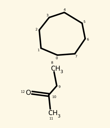 C1CCCCCCC1.CCC(C)=O